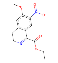 CCOC(=O)C1=NCCc2cc(OC)c([N+](=O)[O-])cc21